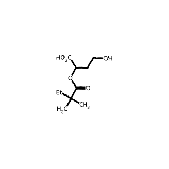 CCC(C)(C)C(=O)OC(CCO)C(=O)O